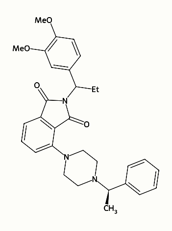 [CH2]CC(c1ccc(OC)c(OC)c1)N1C(=O)c2cccc(N3CCN([C@H](C)c4ccccc4)CC3)c2C1=O